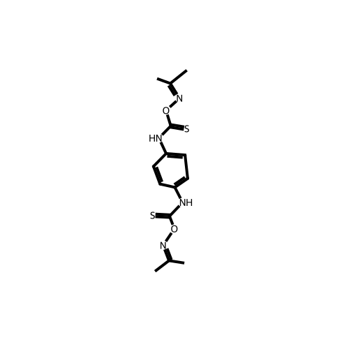 CC(C)=NOC(=S)Nc1ccc(NC(=S)ON=C(C)C)cc1